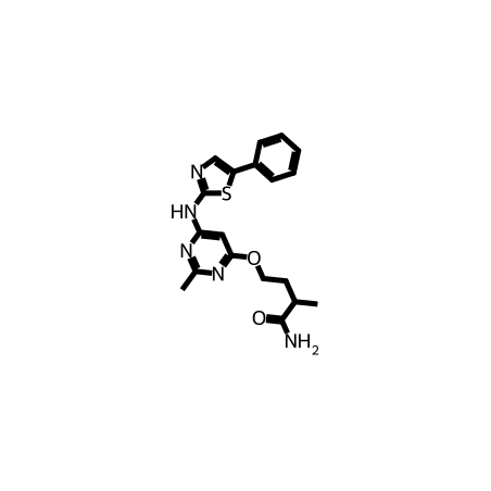 Cc1nc(Nc2ncc(-c3ccccc3)s2)cc(OCCC(C)C(N)=O)n1